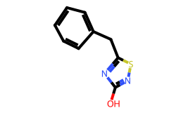 Oc1nsc(Cc2ccccc2)n1